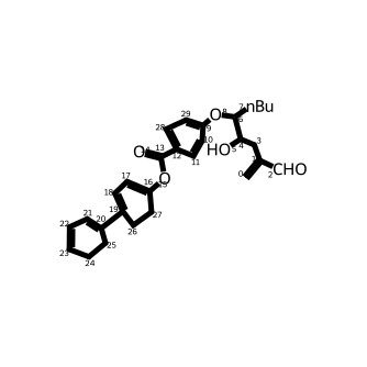 C=C(C=O)CC(O)C(CCCC)Oc1ccc(C(=O)OC2=CC=C(C3=CC=CCC3)CC2)cc1